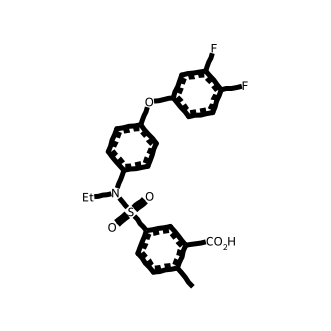 CCN(c1ccc(Oc2ccc(F)c(F)c2)cc1)S(=O)(=O)c1ccc(C)c(C(=O)O)c1